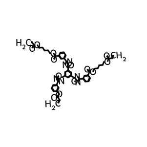 C=CC(=O)OCCCCCOC(=O)c1cccc(-c2noc(-c3cc(-c4nc(-c5cccc(OC(=O)C=C)c5)no4)cc(-c4nc(-c5cccc(C(=O)OCCCCCOC(=O)C=C)c5)no4)c3)n2)c1